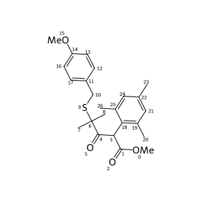 COC(=O)C(C(=O)C(C)(C)SCc1ccc(OC)cc1)c1c(C)cc(C)cc1C